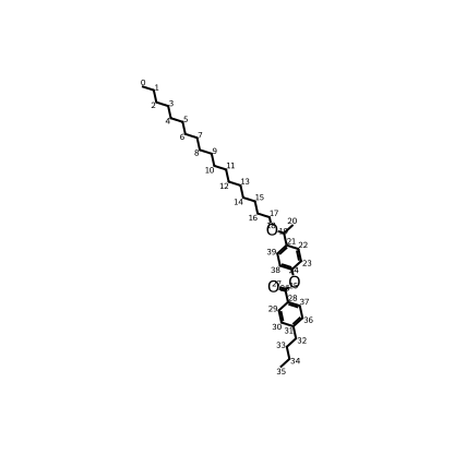 CCCCCCCCCCCCCCCCCCOC(C)c1ccc(OC(=O)c2ccc(CCCC)cc2)cc1